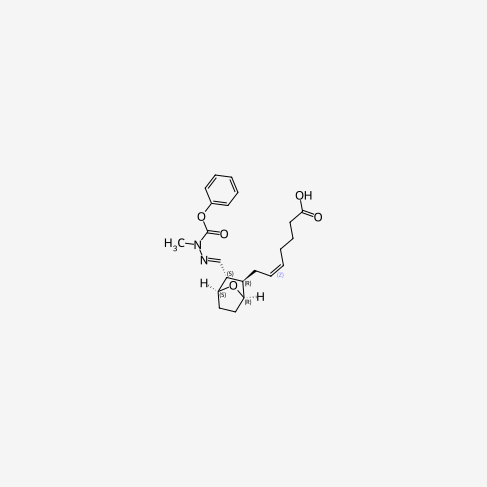 CN(N=C[C@@H]1[C@@H](C/C=C\CCCC(=O)O)[C@H]2CC[C@@H]1O2)C(=O)Oc1ccccc1